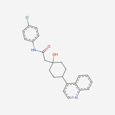 O=C(CC1(O)CCC(c2ccnc3ccccc23)CC1)Nc1ccc(Cl)cc1